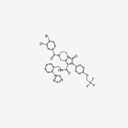 O=C(NCc1ccccc1-n1cncn1)c1c2n(c(=O)n1-c1ccc(OCC(F)(F)F)cc1)CCN(C(=O)c1ccc(Br)c(Cl)c1)C2